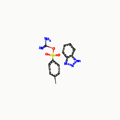 Cc1ccc(S(=O)(=O)OC(=N)N)cc1.c1ccc2[nH]nnc2c1